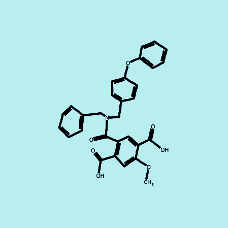 COc1cc(C(=O)O)c(C(=O)N(Cc2ccccc2)Cc2ccc(Oc3ccccc3)cc2)cc1C(=O)O